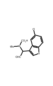 CC(C)(C)N(C(=O)O)C([C]=O)c1csc2ccc(Cl)cc12